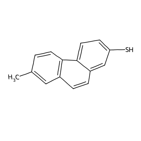 Cc1ccc2c(ccc3cc(S)ccc32)c1